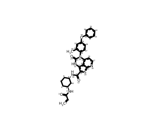 C=CC(=O)N[C@H]1CCC[C@H](NC(=O)c2sc3nccc4c3c2NC(=O)N4c2ccc(Oc3ccccc3)cc2C)C1